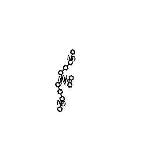 c1ccc(-c2nc3cc(-c4ccc(-c5cccc(-c6nc(-c7cccc(-c8ccc(-c9ccc%10oc(-c%11ccccc%11)nc%10c9)cc8)c7)nc(-n7c8ccccc8c8ccccc87)n6)c5)cc4)ccc3o2)cc1